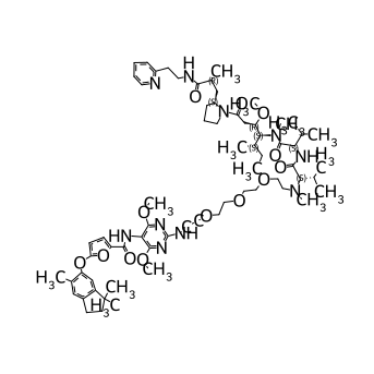 CC[C@H](C)[C@@H]([C@@H](CC(=O)N1CCC[C@H]1C[C@@H](C)C(=O)NCCc1ccccn1)OC)N(C)C(=O)[C@@H](NC(=O)[C@H](C(C)C)N(C)CCOCCOCCOCCNc1nc(OC)c(NC(=O)c2ccc(Oc3cc4c(cc3C)CCC4(C)C)o2)c(OC)n1)C(C)C